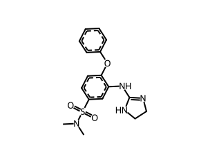 CN(C)S(=O)(=O)c1ccc(Oc2ccccc2)c(NC2=NCCN2)c1